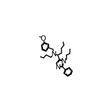 CCCCC(c1cnc(-c2ccccc2)n1CCCC)N(CCCC)Cc1cccc(OC)c1